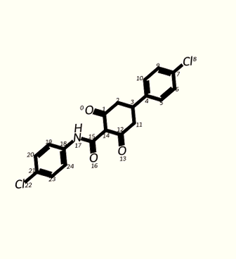 O=C1CC(c2ccc(Cl)cc2)CC(=O)C1C(=O)Nc1ccc(Cl)cc1